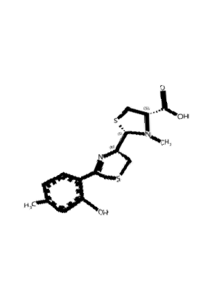 Cc1ccc(C2=N[C@@H]([C@@H]3SC[C@H](C(=O)O)N3C)CS2)c(O)c1